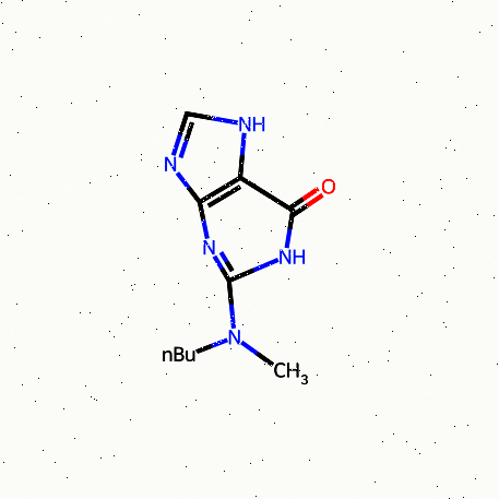 CCCCN(C)c1nc2nc[nH]c2c(=O)[nH]1